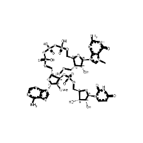 CO[C@@H]1[C@H](OP(=O)([O-])OC[C@H]2O[C@@H](n3ccc(=O)[nH]c3=O)[C@H](O)[C@@H]2O)[C@@H](COP(=O)(O)OP(=O)(O)OP(=O)(O)OC[C@H]2O[C@@H](n3c[n+](C)c4c(=O)[nH]c(N)nc43)[C@H](O)[C@@H]2COC(C)C)O[C@H]1n1cnc2c(N)ncnc21